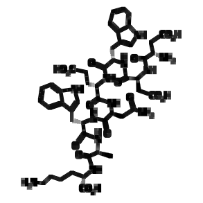 C[C@H](NC(=O)[C@H](Cc1c[nH]c2ccccc12)NC(=O)[C@H](CC(N)=O)NC(=O)[C@H](CCC(=O)O)NC(=O)[C@H](Cc1c[nH]c2ccccc12)NC(=O)[C@H](CC(=O)O)NC(=O)[C@@H](N)CC(=O)O)C(=O)N[C@@H](CCCCN)C(=O)O